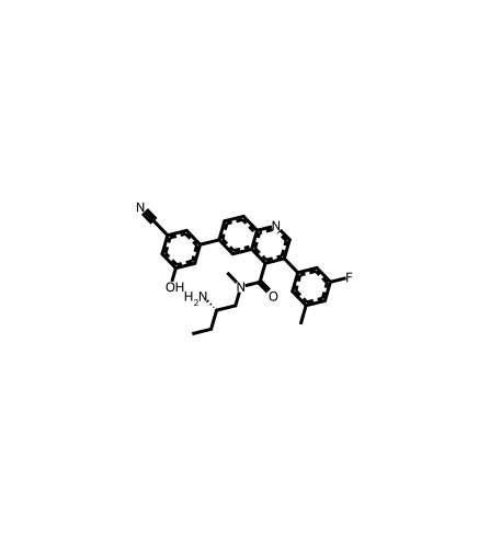 CC[C@H](N)CN(C)C(=O)c1c(-c2cc(C)cc(F)c2)cnc2ccc(-c3cc(O)cc(C#N)c3)cc12